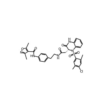 Cc1cc(S(=O)(=O)N2c3ccccc3NC(=O)[C@H]2CC(=O)NCCc2ccc(NC(=O)c3c(C)noc3C)cc2)c(C)cc1Cl